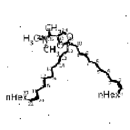 CCCCCC/C=C\CCCCCCCCC1(CCCCCCCC/C=C\CCCCCC)OC[C@H](C(C)N(C)C)O1